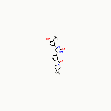 Cc1cc(-c2cc(-c3cccc(C(=O)N4CCC(C)CC4)c3)[nH]c(=O)n2)ccc1O